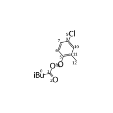 CCC(C)C(=O)OOc1ccc(Cl)cc1C